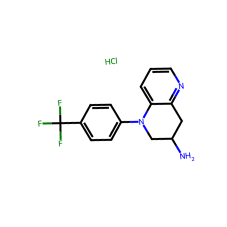 Cl.NC1Cc2ncccc2N(c2ccc(C(F)(F)F)cc2)C1